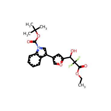 CCOC(=O)C(F)(F)C(O)c1cc(-c2cn(C(=O)OC(C)(C)C)c3ccccc23)co1